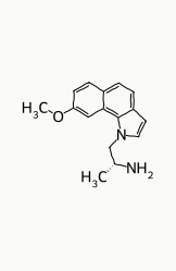 COc1ccc2ccc3ccn(C[C@@H](C)N)c3c2c1